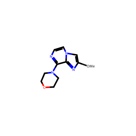 COc1cn2ccnc(N3CCOCC3)c2n1